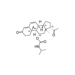 CC(=O)[C@H]1CC[C@H]2[C@@H]3C=CC4=CC(=O)CC[C@@]4(C)[C@@H]3[C@@H](OC(=O)NC(C)C)C[C@]12C